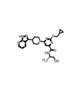 C[C@H](CO)NC(=O)c1cc(N2CCC(c3n[nH]c4ncccc34)CC2)nc(OCC2CC2)n1